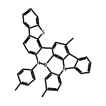 Cc1ccc(N2B3c4cc(C)ccc4-n4c5ccccc5c5c(C)cc(c3c54)-c3c2ccc2c3sc3ccccc32)cc1